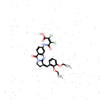 CCOc1cccc(/C=C2/CCn3c2nc2cc(NC(=O)/C(Cl)=C(/Cl)C(=O)O)ccc2c3=O)c1OCC